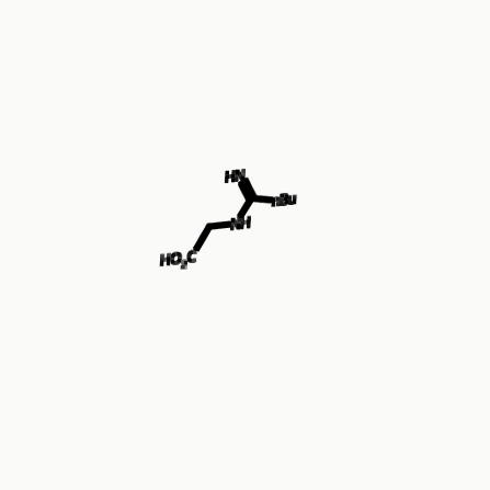 CCCCC(=N)NCC(=O)O